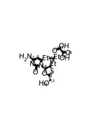 CCN(CC)CC.Nc1ccn([C@H]2CS[C@@H](CO)O2)c(=O)n1.O=C(O)C(=O)O